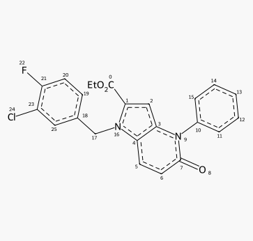 CCOC(=O)c1cc2c(ccc(=O)n2-c2ccccc2)n1Cc1ccc(F)c(Cl)c1